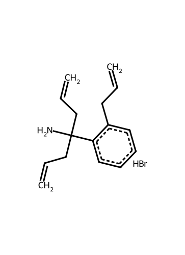 Br.C=CCc1ccccc1C(N)(CC=C)CC=C